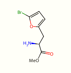 COC(=O)[C@@H](N)Cc1ccc(Br)o1